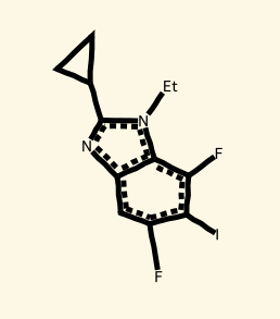 CCn1c(C2CC2)nc2cc(F)c(I)c(F)c21